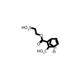 O=C(OCCS(=O)(=O)O)C1C2C=C[C@H](C2)C1C(=O)O